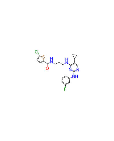 O=C(NCCCNc1nc(Nc2cccc(F)c2)ncc1C1CC1)c1ccc(Cl)s1